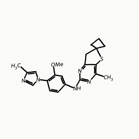 COc1cc(Nc2nc(C)c3c(n2)CC2(CCC2)S3)ccc1-n1cnc(C)c1